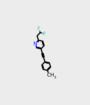 Cc1ccc(C#Cc2ccc(CC(F)F)nc2)cc1